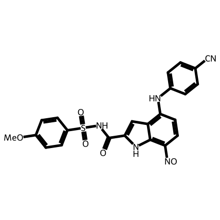 COc1ccc(S(=O)(=O)NC(=O)c2cc3c(Nc4ccc(C#N)cc4)ccc(N=O)c3[nH]2)cc1